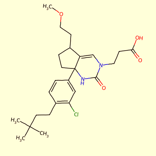 COCCC1CCC2(c3ccc(CCC(C)(C)C)c(Cl)c3)NC(=O)N(CCC(=O)O)C=C12